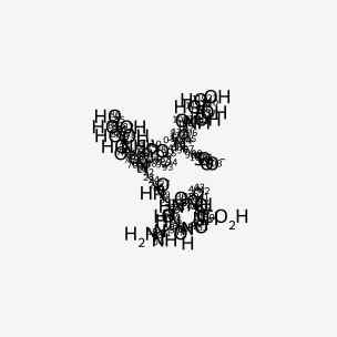 CC1(C)C(/C=C/C2=C(Oc3ccc(S(=O)(=O)O)cc3)C(=C/C=C3/N(CCCCCC(=O)NCCCCC4NC(=O)[C@@H](Cc5ccccc5)NC(=O)[C@H](CC(=O)O)NC(=O)CNC(=O)[C@H](CCCNC(=N)N)NC4=O)c4ccc(C(=O)NCC(O)C(O)C(O)C(O)CO)cc4C3(C)C)/CCC2)=[N+](CCCCSOO[O-])c2ccc(C(=O)NCC(O)C(O)C(O)C(O)CO)cc21